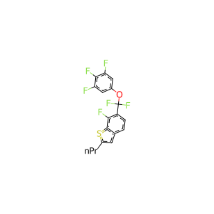 CCCc1cc2ccc(C(F)(F)Oc3cc(F)c(F)c(F)c3)c(F)c2s1